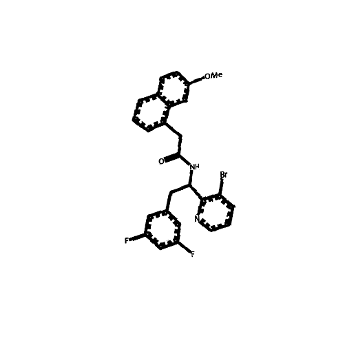 COc1ccc2cccc(CC(=O)NC(Cc3cc(F)cc(F)c3)c3ncccc3Br)c2c1